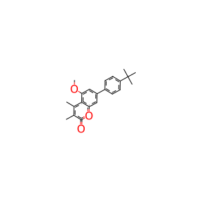 COc1cc(-c2ccc(C(C)(C)C)cc2)cc2oc(=O)c(C)c(C)c12